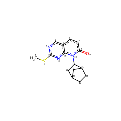 CSc1ncc2ccc(=O)n(C3CC4CCC3C4)c2n1